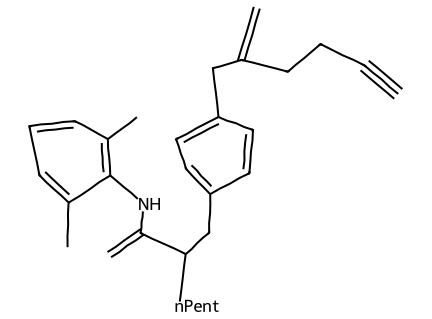 C#CCCC(=C)Cc1ccc(CC(CCCCC)C(=C)Nc2c(C)cccc2C)cc1